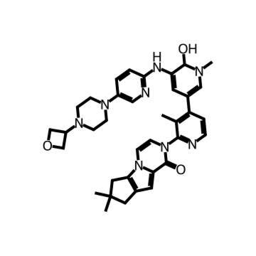 Cc1c(C2=CN(C)C(O)C(Nc3ccc(N4CCN(C5COC5)CC4)cn3)=C2)ccnc1-n1ccn2c3c(cc2c1=O)CC(C)(C)C3